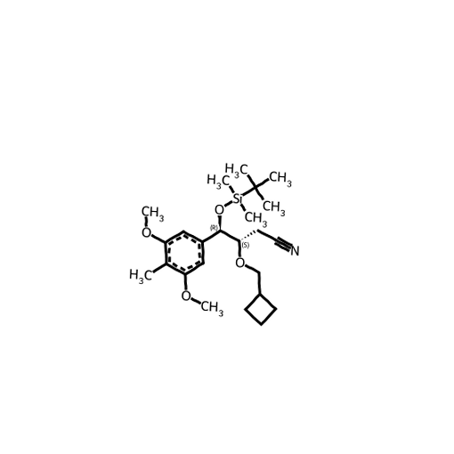 COc1cc([C@@H](O[Si](C)(C)C(C)(C)C)[C@H](CC#N)OCC2CCC2)cc(OC)c1C